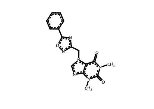 Cn1c(=O)c2c(ncn2Cc2noc(-c3ccccc3)n2)n(C)c1=O